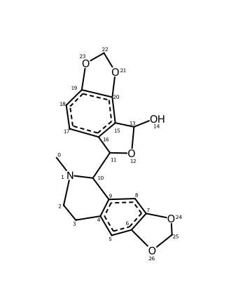 CN1CCc2cc3c(cc2C1C1OC(O)c2c1ccc1c2OCO1)OCO3